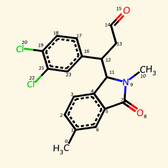 Cc1ccc2c(c1)C(=O)N(C)C2C(CC=O)c1ccc(Cl)c(Cl)c1